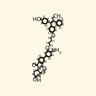 CC/C(=C(\c1ccc(O)cc1)c1ccc(OCCCCOc2cc(-c3ccc4c(c3)C(=O)N(C3CCC(=O)NC3=O)C4=O)ccc2N)cc1)c1ccccc1